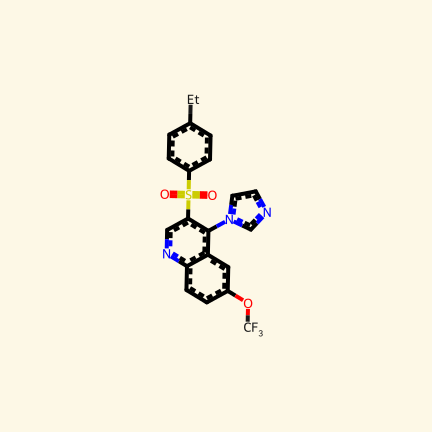 CCc1ccc(S(=O)(=O)c2cnc3ccc(OC(F)(F)F)cc3c2-n2ccnc2)cc1